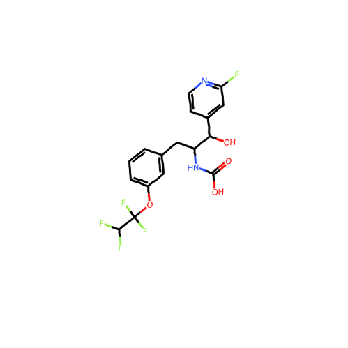 O=C(O)NC(Cc1cccc(OC(F)(F)C(F)F)c1)C(O)c1ccnc(F)c1